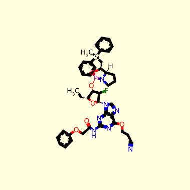 CC[C@H]1O[C@@H](n2cnc3c(OCCC#N)nc(NC(=O)COc4ccccc4)nc32)C(F)[C@H]1O[P@]1O[C@@H](C[Si](C)(c2ccccc2)c2ccccc2)[C@H]2CCCN21